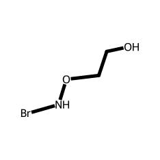 OCCONBr